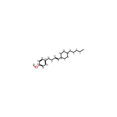 CCCCCC1CCC(C=CCCc2ccc(OC)cc2)CC1